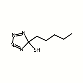 CCCCCC1(S)N=NN=N1